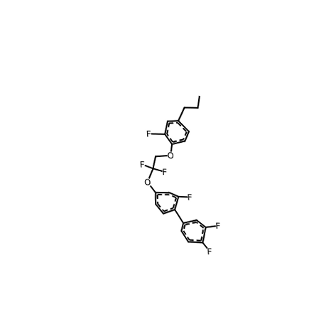 CCCc1ccc(OCC(F)(F)Oc2ccc(-c3ccc(F)c(F)c3)c(F)c2)c(F)c1